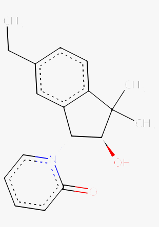 CCc1ccc2c(c1)[C@@H](n1ccccc1=O)[C@H](O)C2(C)C